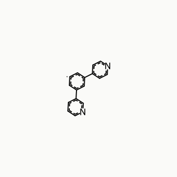 [c]1cc(-c2ccncc2)cc(-c2cccnc2)c1